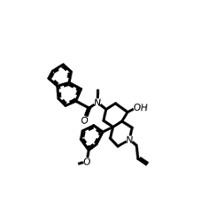 C=CCN1CCC2(c3cccc(OC)c3)CC(N(C)C(=O)c3ccc4ccccc4c3)CC(O)C2C1